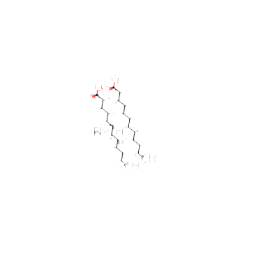 CCCCCCCCCCCC(=O)[O-].CCCCCCCCCCCC(=O)[O-].[PbH2+2]